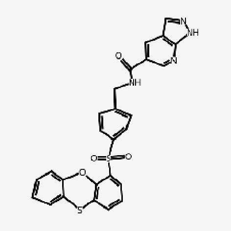 O=C(NCc1ccc(S(=O)(=O)c2cccc3c2Oc2ccccc2S3)cc1)c1cnc2[nH]ncc2c1